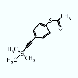 CC(=O)Sc1ccc(C#C[Si](C)(C)C)cc1